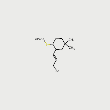 CCCCCSC1CCC(C)(C)CC1C=CCC(C)=O